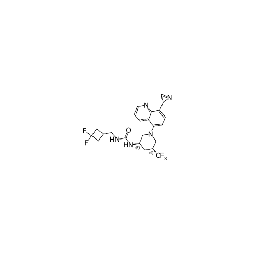 O=C(NCC1CC(F)(F)C1)N[C@@H]1C[C@H](C(F)(F)F)CN(c2ccc(C3C=N3)c3ncccc23)C1